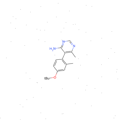 Cc1cc(OC(C)(C)C)ccc1-c1c(C)ncnc1N